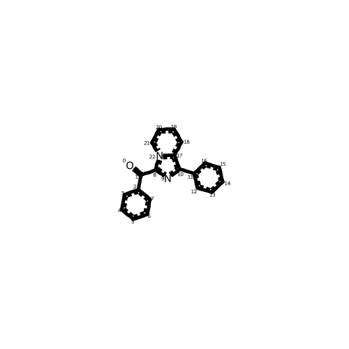 O=C(c1ccccc1)c1nc(-c2ccccc2)c2ccccn12